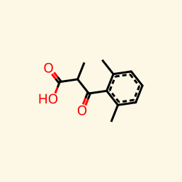 Cc1cccc(C)c1C(=O)C(C)C(=O)O